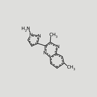 Cc1ccc2nc(-c3ccn(N)n3)c(C)nc2c1